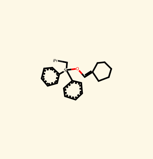 CC(C)C[Si](OC=C1CCCCC1)(c1ccccc1)c1ccccc1